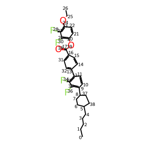 CCCCCC1CCC(c2ccc(-c3ccc(C(=O)Oc4ccc(OCC)c(F)c4F)cc3)c(F)c2F)CC1